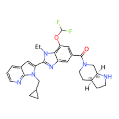 CCn1c(-c2cc3cccnc3n2CC2CC2)nc2cc(C(=O)N3CC[C@@H]4CCN[C@@H]4C3)cc(OC(F)F)c21